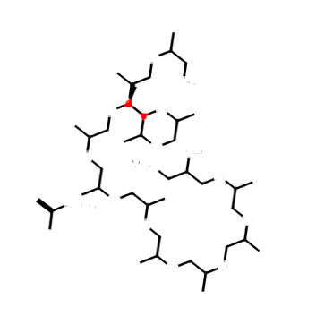 C=C(C)C(=O)O.COCC(O)COC(C)COC(C)COC(C)COC(C)COC(C)COC(C)COC(C)COC(C)COC(C)COC(C)COC(C)COC(C)CO